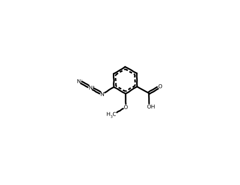 COc1c(N=[N+]=[N-])cccc1C(=O)O